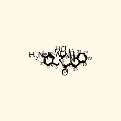 Cl.N=C(N)N(Cc1ccc(N)cc1)C(=O)c1cc2ccccc2[nH]1